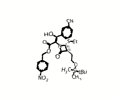 CCS[C@@H]1[C@@H](CCO[Si](C)(C)C(C)(C)C)C(=O)N1C(C(=O)OCc1ccc([N+](=O)[O-])cc1)=C(O)c1cccc(C#N)c1